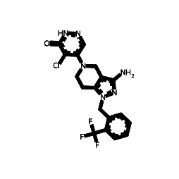 Nc1nn(Cc2ccccc2C(F)(F)F)c2c1CN(c1cn[nH]c(=O)c1Cl)CC2